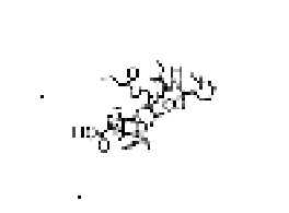 CCCC(=O)OCN(C(=O)[C@H](NC(=O)C1CCCCN1C)[C@@H](C)CC)[C@H](C[C@@H](O[Si](CC)(CC)CC)c1nc(C(=O)O)cs1)C(C)C